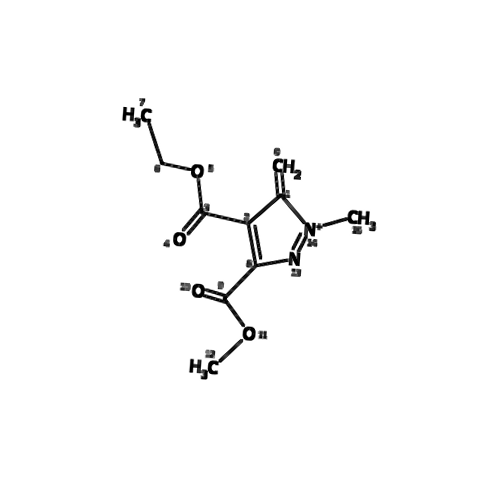 C=C1C(C(=O)OCC)=C(C(=O)OC)N=[N+]1C